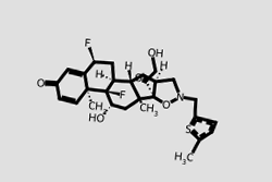 Cc1ccc(CN2C[C@@H]3C[C@H]4[C@@H]5C[C@H](F)C6=CC(=O)C=C[C@]6(C)[C@@]5(F)[C@@H](O)C[C@]4(C)[C@]3(C(=O)CO)O2)s1